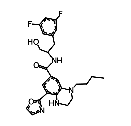 CCCCN1CCNc2c(-c3ncco3)cc(C(=O)NC(CO)Cc3cc(F)cc(F)c3)cc21